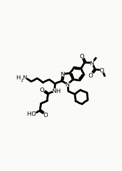 COC(=O)N(C)C(=O)c1ccc2c(c1)nc(C(CCCCN)NC(=O)CCC(=O)O)n2CC1CCCCC1